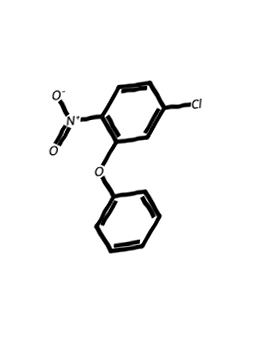 O=[N+]([O-])c1ccc(Cl)cc1Oc1ccccc1